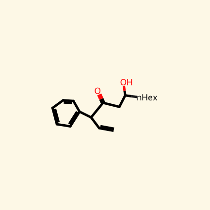 C=CC(C(=O)CC(O)CCCCCC)c1ccccc1